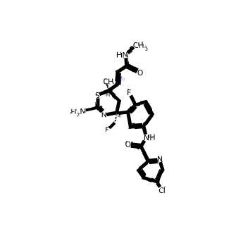 CNC(=O)/C=C/[C@@]1(C)C[C@@](CF)(c2cc(NC(=O)c3ccc(Cl)cn3)ccc2F)N=C(N)S1